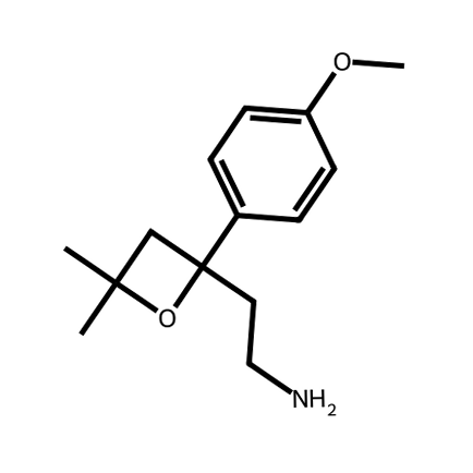 COc1ccc(C2(CCN)CC(C)(C)O2)cc1